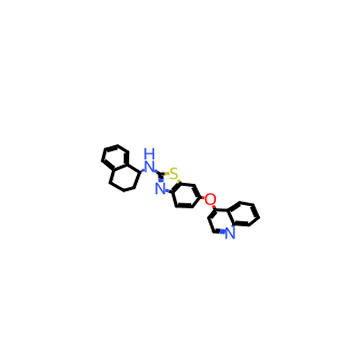 c1ccc2c(c1)CCC[C@@H]2Nc1nc2ccc(Oc3ccnc4ccccc34)cc2s1